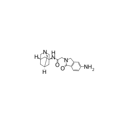 Nc1ccc2c(c1)CN(CC(=O)N[C@@]13C[C@@H]4C[C@@H](C[N@](C4)C1)C3)C2=O